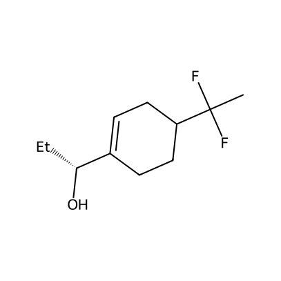 CC[C@@H](O)C1=CCC(C(C)(F)F)CC1